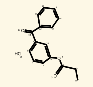 CCC(=O)Oc1cccc(C(=O)c2ccccc2)c1.Cl